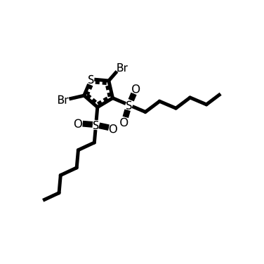 CCCCCCS(=O)(=O)c1c(Br)sc(Br)c1S(=O)(=O)CCCCCC